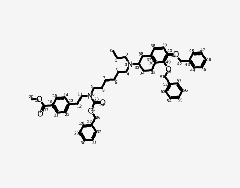 CCCN(CCCCCCN(CCc1ccc(C(=O)OC)cc1)C(=O)OCc1ccccc1)C1CCc2c(ccc(OCc3ccccc3)c2OCc2ccccc2)C1